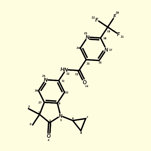 CC1(C)C(=O)N(C2CC2)c2cc(NC(=O)c3cnc(C(F)(F)F)nc3)ncc21